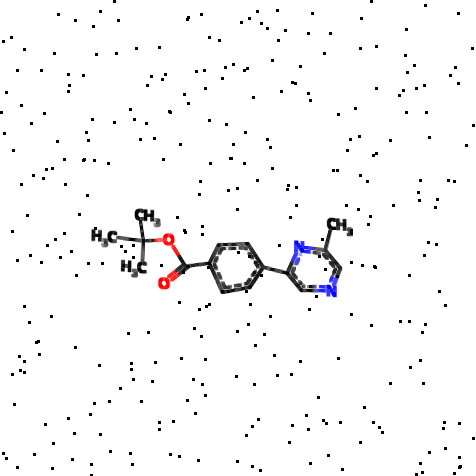 Cc1cncc(-c2ccc(C(=O)OC(C)(C)C)cc2)n1